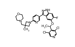 C[C@@H](Oc1cc2c(-c3ccc(N4CC(C)(CN5CCOCC5)C4)nc3)n[nH]c2cc1F)c1c(Cl)cncc1Cl